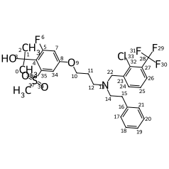 CC(C)(O)c1c(F)cc(OCCCN(CCc2ccccc2)Cc2cccc(C(F)(F)F)c2Cl)cc1S(C)(=O)=O